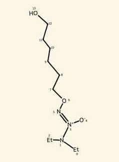 CCN(CC)/[N+]([O-])=N/OCCCCCCO